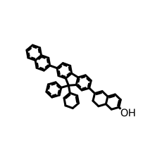 OC1=CC=C2C=C(c3ccc4c(c3)C(C3=CCCC=C3)(c3ccccc3)c3cc(-c5ccc6ccccc6c5)ccc3-4)CCC2C1